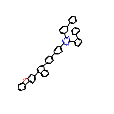 c1ccc(-c2cccc(-c3nc(-c4ccc(-c5ccc(-c6ccc(-c7ccc8c(c7)oc7ccccc78)c7ccccc67)cc5)cc4)nc(-c4ccccc4-c4ccccc4)n3)c2)cc1